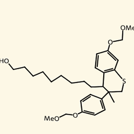 COCOc1ccc(C2(C)CSc3cc(OCOC)ccc3C2CCCCCCCCCO)cc1